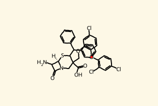 NC1C(=O)N2CC(COc3cc(Cl)ccc3Oc3ccc(Cl)cc3Cl)(C(=O)O)C(C(c3ccccc3)c3ccccc3)S[C@H]12